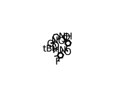 Cc1cc(NC(=O)c2cccc(S(=O)(=O)NC3CCCN(C(=O)OC(C)(C)C)C3)c2)ccc1F